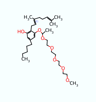 CCCCCc1cc(O)c(C/C=C(\C)CCC=C(C)C)c(OC(C)OCCOCCOCCOCCOC)c1